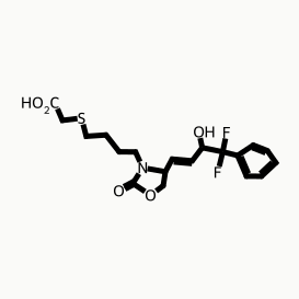 O=C(O)CSCCCCN1C(=O)OCC1C=CC(O)C(F)(F)c1ccccc1